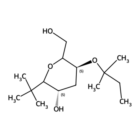 CCC(C)(C)O[C@H]1C[C@H](O)C(C(C)(C)C)OC1CO